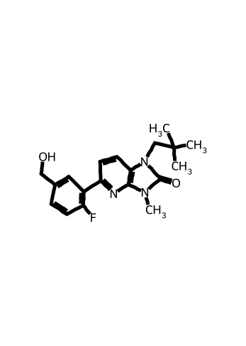 Cn1c(=O)n(CC(C)(C)C)c2ccc(-c3cc(CO)ccc3F)nc21